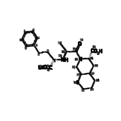 CCOC(=O)[C@H](CCc1ccccc1)NC(C)C(=O)N1CC2SCCCC2C[C@H]1C(=O)O